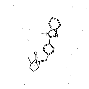 Cn1c(-c2ccc(C=C3C(=O)C4(C)CCC3C4(C)C)cc2)nc2ccccc21